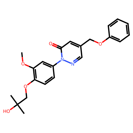 COc1cc(-n2ncc(COc3ccccc3)cc2=O)ccc1OCC(C)(C)O